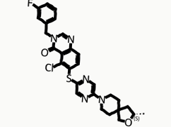 C[C@H]1CC2(CCN(c3cnc(Sc4ccc5ncn(Cc6cccc(F)c6)c(=O)c5c4Cl)cn3)CC2)CO1